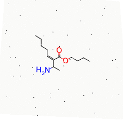 CCCCC=C(C(=O)OCCCC)C(C)N